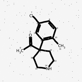 CC(=O)C1(c2cc(Cl)ccc2C)CCNCC1